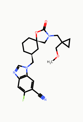 COCC1(CN2C[C@@]3(CCC[C@H](Cn4cnc5cc(F)c(C#N)cc54)C3)OC2=O)CC1